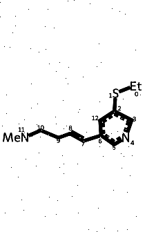 CCSc1cncc(C=CCCNC)c1